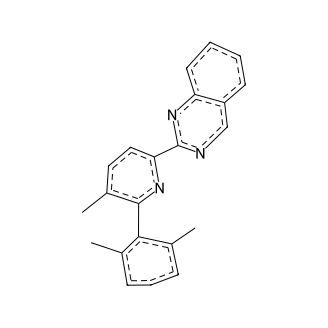 Cc1ccc(-c2ncc3ccccc3n2)nc1-c1c(C)cccc1C